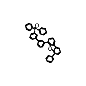 O=P(c1ccccc1)(c1ccccc1)c1cccc(-c2cccc(-c3cccc4c3oc3c(-c5ccccc5)cccc34)c2)c1